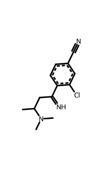 CC(CC(=N)c1ccc(C#N)cc1Cl)N(C)C